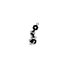 C[C@H]1[C@H](NC(=O)c2cnc(-c3ccc(Cl)cc3)s2)C2CCN1CC2